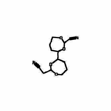 N#CCC1OCCCC(C2CCCOC(C#N)O2)O1